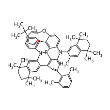 Cc1cc2c(cc1N1c3cc(-c4c(C)cccc4C)cc4c3B(c3c1ccc1oc5ccccc5c31)N(c1ccc(C(C)(C)C)cc1)c1cc3c(cc1-4)C(C)(C)CCC3(C)C)C(C)(C)CCC2(C)C